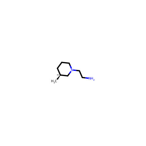 C[C@H]1CCCN(CCN)C1